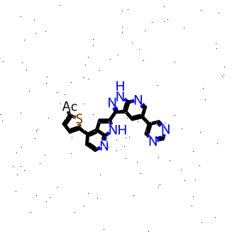 CC(=O)c1ccc(-c2ccnc3[nH]c(-c4n[nH]c5ncc(-c6cncnc6)cc45)cc23)s1